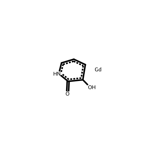 O=c1[nH]cccc1O.[Gd]